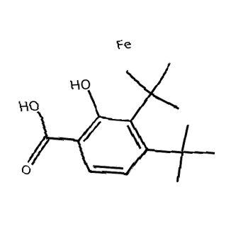 CC(C)(C)c1ccc(C(=O)O)c(O)c1C(C)(C)C.[Fe]